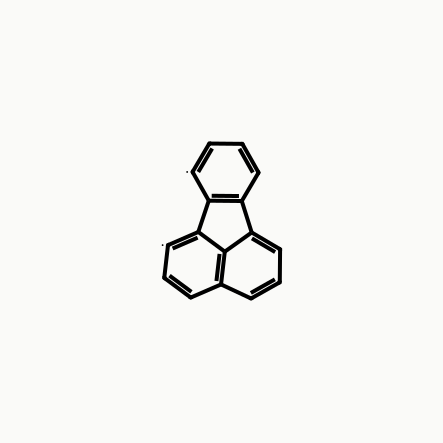 [c]1cccc2c1-c1[c]ccc3cccc-2c13